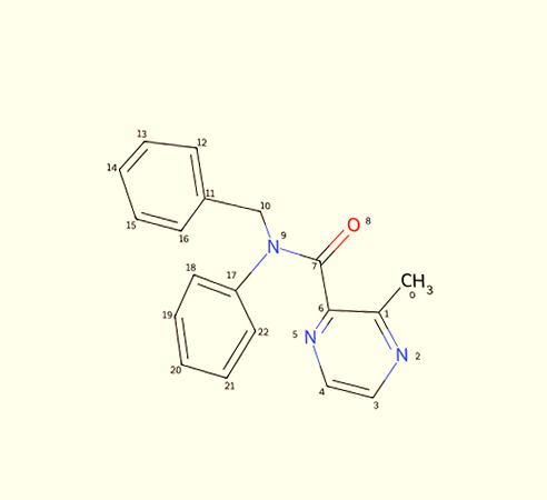 Cc1nccnc1C(=O)N(Cc1ccccc1)c1ccccc1